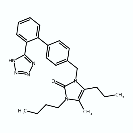 CCCCn1c(C)c(CCC)n(Cc2ccc(-c3ccccc3-c3nnn[nH]3)cc2)c1=O